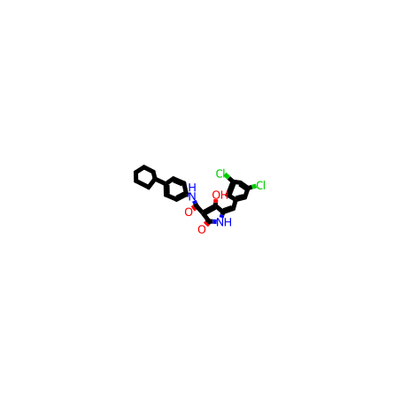 O=C1N/C(=C/c2cc(Cl)cc(Cl)c2)C(O)=C1C(=O)Nc1ccc(C2CCCCC2)cc1